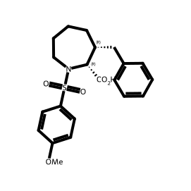 COc1ccc(S(=O)(=O)N2CCCC[C@H](Cc3ccccc3)[C@@H]2C(=O)O)cc1